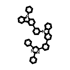 c1ccc(-c2cc(-c3cccc(-c4ccc5c6ccccc6n(-c6cccc(-c7ccc8c(c7)c7ccccc7n8-c7ccccc7)c6)c5c4)c3)nc(-c3ccccc3)n2)cc1